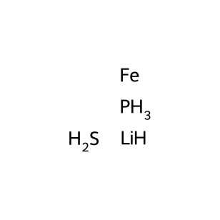 P.S.[Fe].[LiH]